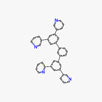 c1ccc(-c2cc(-c3cccnc3)cc(-c3cccc(-c4cc(-c5cccnc5)cc(-c5cccnc5)c4)c3)c2)nc1